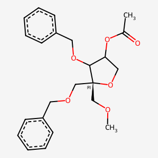 COC[C@]1(COCc2ccccc2)OCC(OC(C)=O)C1OCc1ccccc1